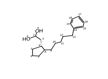 OC(O)C[C@H]1CCCC1CCCCCc1ccccc1